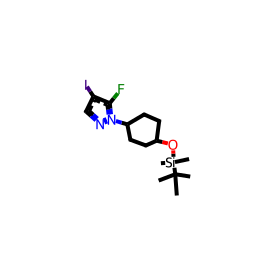 CC(C)(C)[Si](C)(C)OC1CCC(n2ncc(I)c2F)CC1